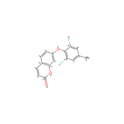 CC(C)c1cc(F)c(Oc2ccc3ccc(=O)oc3c2)c(F)c1